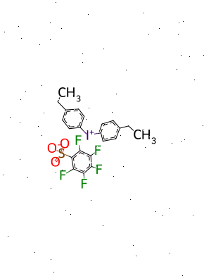 CCc1ccc([I+]c2ccc(CC)cc2)cc1.O=S(=O)([O-])c1c(F)c(F)c(F)c(F)c1F